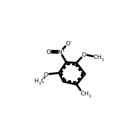 COc1cc(C)cc(OC)c1[N+](=O)[O-]